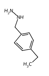 CCc1ccc(CNN)cc1